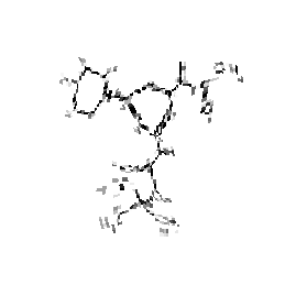 C[S+]([O-])Nc1cc(NC(=O)OC(C)(C)C)cc(N2CCOCC2)c1